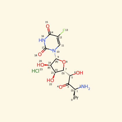 CC(C)[C@H](N)C(=O)C(O)[C@H]1O[C@@H](n2cc(F)c(=O)[nH]c2=O)[C@H](O)[C@@H]1O.Cl